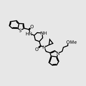 COCCCn1cc(CN(C(=O)C2CNCC(NC(=O)c3cc4ccccc4s3)C2)C2CC2)c2ccccc21